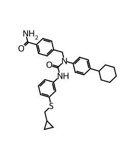 NC(=O)c1ccc(CN(C(=O)Nc2cccc(SCC3CC3)c2)c2ccc(C3CCCCC3)cc2)cc1